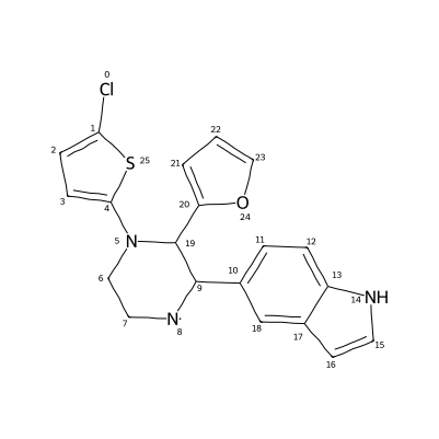 Clc1ccc(N2CC[N]C(c3ccc4[nH]ccc4c3)C2c2ccco2)s1